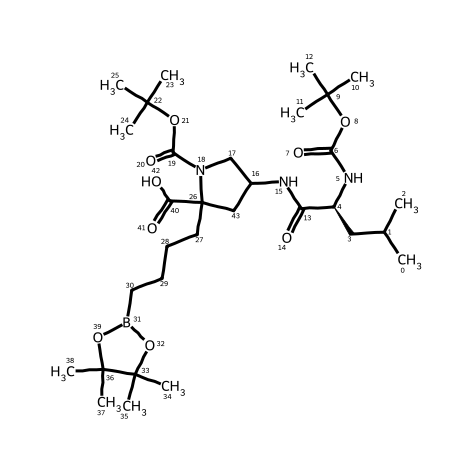 CC(C)C[C@H](NC(=O)OC(C)(C)C)C(=O)NC1CN(C(=O)OC(C)(C)C)C(CCCCB2OC(C)(C)C(C)(C)O2)(C(=O)O)C1